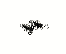 CCC(=O)N[C@@H](C(=O)N1CCN(C)CC1)[C@@H](C)c1ccc(NC(=O)[C@@H](NC(=O)C(F)(F)c2cnn(CC)c2)C2CCCCCC2)c(F)c1